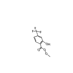 COOC(=O)c1ccc(C(F)(F)F)cc1O